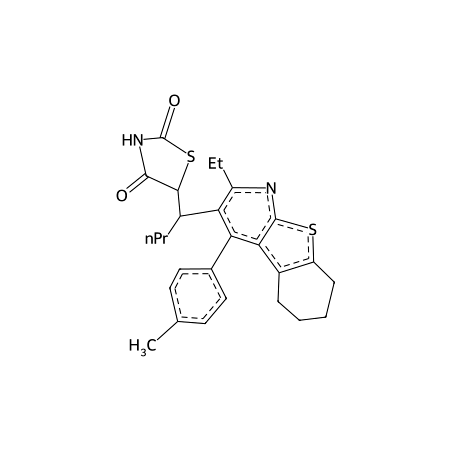 CCCC(c1c(CC)nc2sc3c(c2c1-c1ccc(C)cc1)CCCC3)C1SC(=O)NC1=O